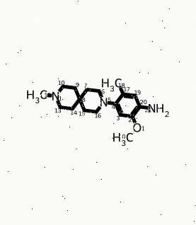 COc1cc(N2CCC3(CCN(C)CC3)CC2)c(C)cc1N